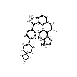 C[C@@H](Oc1ccc2[nH]nc(-c3ccc(C4=CCC5(CC4)COC5)nc3)c2c1)c1ccnc2[nH]ccc12